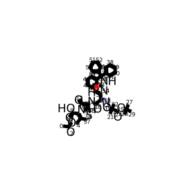 CC(=O)OCC1=C(C(=O)O)N2C(=O)[C@@H](NC(=O)/C(=N\OC(C)(C)C(=O)OC(C)(C)C)c3csc(NC(c4ccccc4)(c4ccccc4)c4ccccc4)n3)[C@H]2SC1